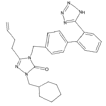 C=CCCc1nn(CC2CCCCC2)c(=O)n1Cc1ccc(-c2ccccc2-c2nnn[nH]2)cc1